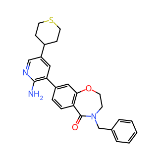 Nc1ncc(C2CCSCC2)cc1-c1ccc2c(c1)OCCN(Cc1ccccc1)C2=O